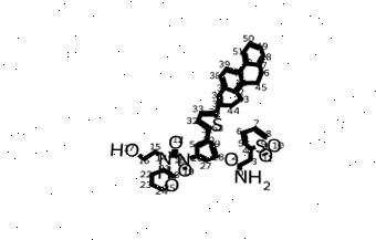 NC(=O)CC1C=CC=CS1(=O)=O.O=C(NCCO)N(O[C@H]1CCCCO1)c1cccc(-c2ccc(C3=Cc4ccc5c(c4CC3)CCc3ccccc3-5)s2)c1